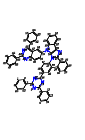 c1ccc(-c2nc(-c3ccccc3)nc(-c3ccc4c(c3)c3ccccc3c3nc5c6ccccc6n(-c6ccc7nc(-c8ccccc8)nc(-c8ccccc8)c7c6)c5n43)n2)cc1